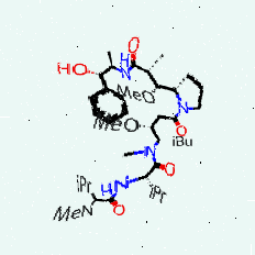 CC[C@H](C)C([C@@H](CC(=O)N1CCC[C@H]1[C@H](OC)[C@@H](C)C(=O)N[C@H](C)[C@@H](O)c1ccccc1)OC)N(C)C(=O)[C@@H](NC(=O)[C@@H](NC)C(C)C)C(C)C